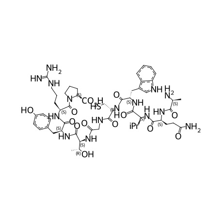 CC(C)[C@H](NC(=O)[C@H](CCC(N)=O)NC(=O)[C@H](C)N)C(=O)N[C@@H](Cc1c[nH]c2ccccc12)C(=O)N[C@@H](CS)C(=O)NCC(=O)N[C@H](C(=O)N[C@@H](Cc1ccc(O)cc1)C(=O)N[C@@H](CCCNC(=N)N)C(=O)N1CCC[C@H]1C(=O)O)[C@@H](C)O